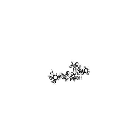 COc1cc(C(=O)Nc2ccn(C3O[C@H](COP(=O)(N[C@H](C)C(=O)OC(C)C)Oc4ccccc4)[C@@H](O)C3(F)F)c(=O)n2)cc(OC)c1OC